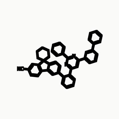 N#Cc1ccc2c(c1)C1(CCCCC1)c1ccc(-c3ccccc3-c3cc(-c4cccc(-c5ccccc5)c4)nc(-c4ccccc4)n3)cc1-2